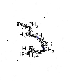 C/C(=C\COCC(CO)OC/C=C(\C)CCCC(C)CCCC(C)CCCC(C)C)CCCC(C)CCCC(C)CCCC(C)C